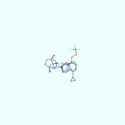 FC(F)(F)COc1ccc(C2CC2)n2nc(N[C@H]3[C@@H]4CC[C@H]3CN(c3ccnc(Cl)c3)C4)nc12